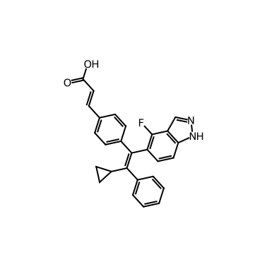 O=C(O)C=Cc1ccc(C(=C(c2ccccc2)C2CC2)c2ccc3[nH]ncc3c2F)cc1